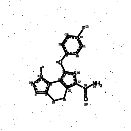 Cn1ncc2c1-c1c(Oc3ccc(F)cc3)sc(C(N)=O)c1CC2